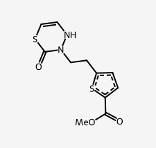 COC(=O)c1ccc(CCN2NC=CSC2=O)s1